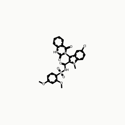 COc1ccc(S(=O)(=O)NC(=O)c2c(-n3c(=O)[nH]c4ccccc4c3=O)c3cc(Cl)ccc3n2C)c(OC)c1